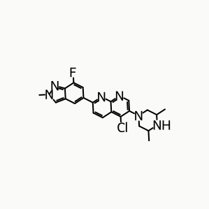 CC1CN(c2cnc3nc(-c4cc(F)c5nn(C)cc5c4)ccc3c2Cl)CC(C)N1